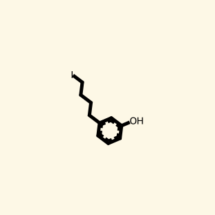 Oc1cccc(CCCCI)c1